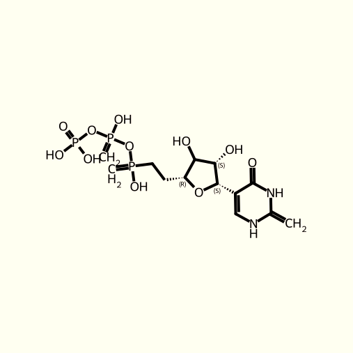 C=C1NC=C([C@@H]2O[C@H](CCP(=C)(O)OP(=C)(O)OP(=O)(O)O)C(O)[C@@H]2O)C(=O)N1